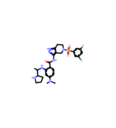 CC(Nc1cc(N(C)C)ccc1C(=O)Nc1n[nH]c2c1CN(S(=O)(=O)c1cc(F)cc(F)c1)CC2)C1CCCN1